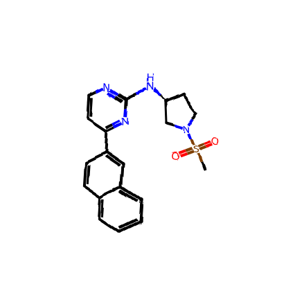 CS(=O)(=O)N1CC[C@H](Nc2nccc(-c3ccc4ccccc4c3)n2)C1